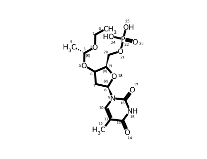 CCO[C@@H](C)OC1C[C@H](n2cc(C)c(=O)[nH]c2=O)O[C@@H]1COP(=O)(O)O